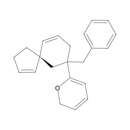 C1=CCOC(C2(Cc3ccccc3)CC=C[C@@]3(C=CCC3)C2)=C1